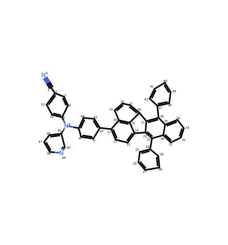 N#Cc1ccc(N(c2ccc(-c3ccc4c5c(cccc35)-c3c-4c(-c4ccccc4)c4ccccc4c3-c3ccccc3)cc2)c2cccnc2)cc1